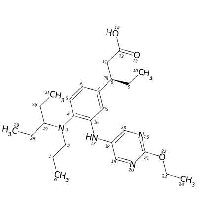 CCCN(c1ccc([C@H](CC)CC(=O)O)cc1Nc1cnc(OCC)nc1)C(CC)CC